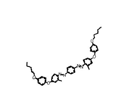 CCCCCOc1ccc(Oc2ccc(N=Nc3ccc(N=Nc4ccc(Oc5ccc(OCCCCC)cc5)cc4C)cc3)c(C)c2)cc1